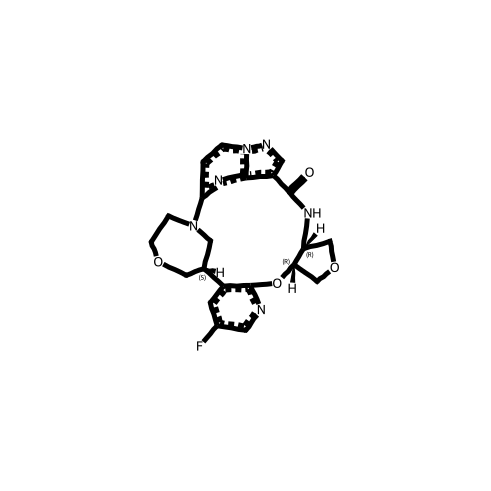 O=C1N[C@@H]2COC[C@@H]2Oc2ncc(F)cc2[C@@H]2COCCN(C2)c2ccn3ncc1c3n2